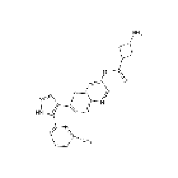 Cc1cccc(-c2[nH]ncc2-c2ccc3ncc(OC(=O)C4CC(N)C4)cc3c2)n1